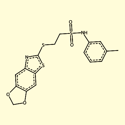 Cc1cccc(NS(=O)(=O)CCSc2nc3cc4c(cc3s2)OCO4)c1